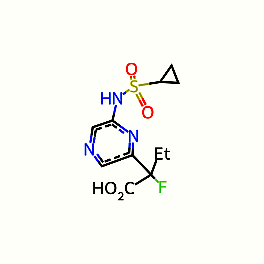 CCC(F)(C(=O)O)c1cncc(NS(=O)(=O)C2CC2)n1